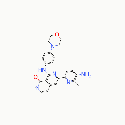 Cc1nc(-c2cc3c(c(Nc4ccc(N5CCOCC5)cc4)n2)C(=O)[N]C=C3)ccc1N